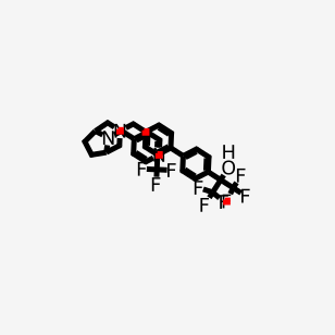 OC(c1ccc(-c2ccc(CN3CC4CCC(C3)N4Cc3ccncc3)cc2C(F)(F)F)cc1)(C(F)(F)F)C(F)(F)F